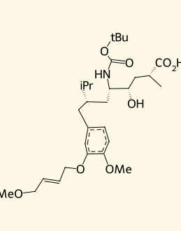 COCC=CCOc1cc(C[C@@H](C[C@H](NC(=O)OC(C)(C)C)[C@@H](O)C[C@@H](C)C(=O)O)C(C)C)ccc1OC